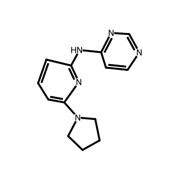 c1cc(Nc2ccncn2)nc(N2CCCC2)c1